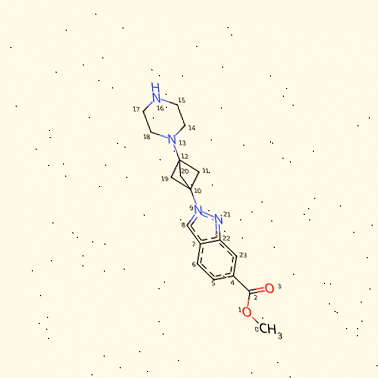 COC(=O)c1ccc2cn(C34CC(N5CCNCC5)(C3)C4)nc2c1